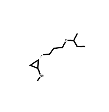 CCC(C)OCCCC[C@H]1CC1NC